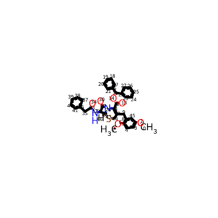 COc1ccc(OC)c(CC2=C(C(=O)OC(c3ccccc3)c3ccccc3)N3C(=O)C(NC(=O)Cc4ccccc4)[C@@H]3SC2)c1